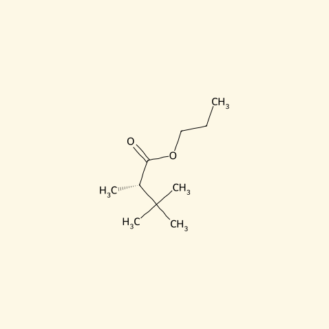 CCCOC(=O)[C@@H](C)C(C)(C)C